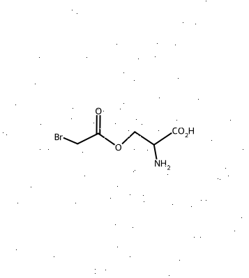 NC(COC(=O)CBr)C(=O)O